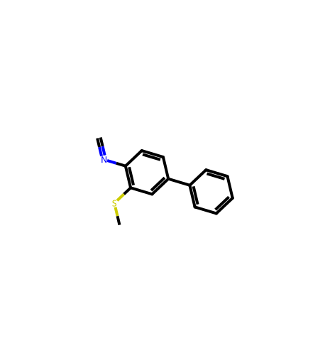 C=Nc1ccc(-c2ccccc2)cc1SC